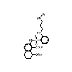 COC1CCCc2ccc(NS(=O)(=O)c3ccccc3NCCCNC(C)C)c(C(=O)O)c21